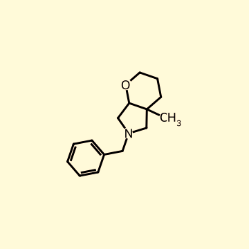 CC12CCCOC1CN(Cc1ccccc1)C2